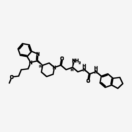 COCCCn1c([C@@H]2CCCN(C(=O)C[C@@H](N)CNC(=O)Nc3ccc4c(c3)CCC4)C2)nc2ccccc21